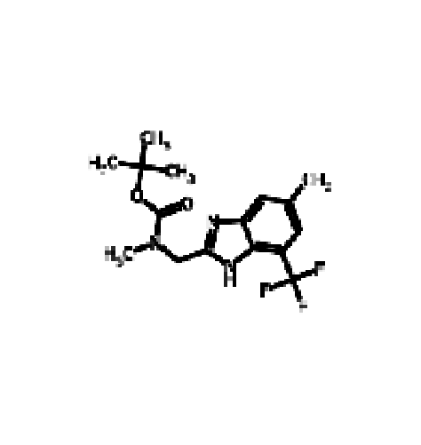 Cc1cc(C(F)(F)F)c2[nH]c(CN(C)C(=O)OC(C)(C)C)nc2c1